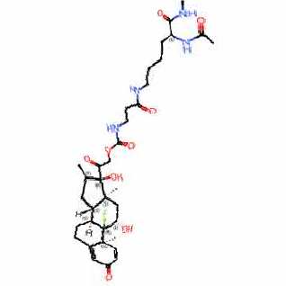 CNC(=O)[C@H](CCCCNC(=O)CCNC(=O)OCC(=O)[C@@]1(O)[C@H](C)C[C@H]2[C@@H]3CCC4=CC(=O)C=C[C@]4(C)[C@@]3(F)[C@@H](O)C[C@@]21C)NC(C)=O